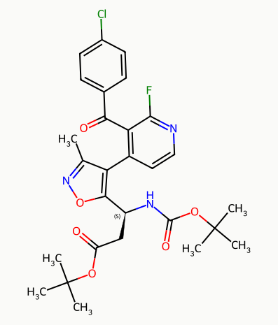 Cc1noc([C@H](CC(=O)OC(C)(C)C)NC(=O)OC(C)(C)C)c1-c1ccnc(F)c1C(=O)c1ccc(Cl)cc1